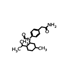 CC1CCC(C(C)C)C(N(C=O)c2ccc(CC(N)=O)cc2)C1